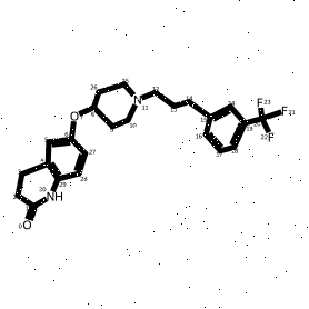 O=C1CCc2cc(OC3CCN(CCCc4cccc(C(F)(F)F)c4)CC3)ccc2N1